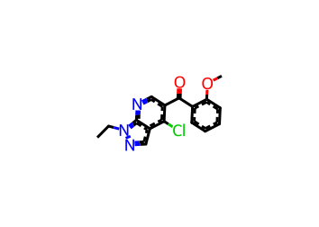 CCn1ncc2c(Cl)c(C(=O)c3ccccc3OC)cnc21